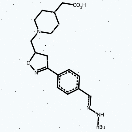 CCCCNN=Cc1ccc(C2=NOC(CN3CCC(CC(=O)O)CC3)C2)cc1